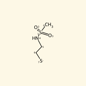 CS(=O)(=O)NCC[S]